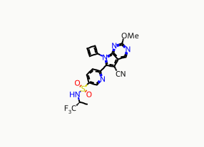 COc1ncc2c(C#N)c(-c3ccc(S(=O)(=O)N[C@@H](C)C(F)(F)F)cn3)n(C3=CC=C3)c2n1